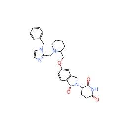 O=C1CCC(N2Cc3cc(OCC4CCCCN4Cc4nccn4Cc4ccccc4)ccc3C2=O)C(=O)N1